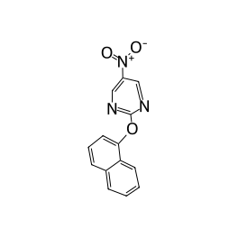 O=[N+]([O-])c1cnc(Oc2cccc3ccccc23)nc1